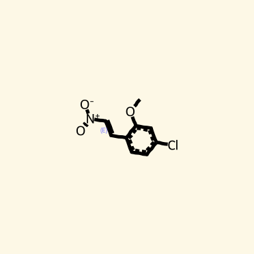 COc1cc(Cl)ccc1/C=C/[N+](=O)[O-]